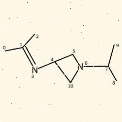 CC(C)=NC1CN(C(C)C)C1